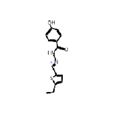 CCc1ccc(/C=N/NC(=O)c2ccc(O)cc2)s1